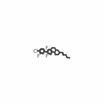 CCCC=CC1CCC2c3cc(F)c(-c4ccc(Cl)c(F)c4)c(F)c3CCC2C1